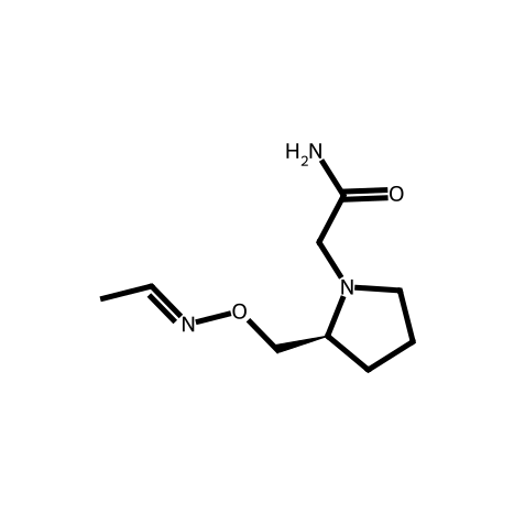 C/C=N/OC[C@@H]1CCCN1CC(N)=O